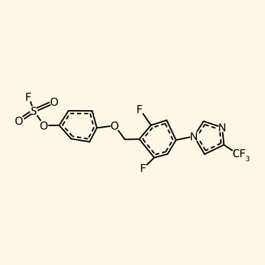 O=S(=O)(F)Oc1ccc(OCc2c(F)cc(-n3cnc(C(F)(F)F)c3)cc2F)cc1